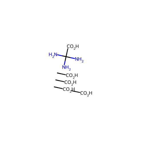 CC(=O)O.CC(=O)O.CC(=O)O.CC(=O)O.NC(N)(N)C(=O)O